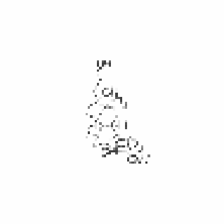 C[C@]12CC[C@H]3C([C@H]4CC4[C@]4(O)C[C@@H](O)CC[C@]34C)[C@@H]1C1CC1[C@@]2(O)CCCO